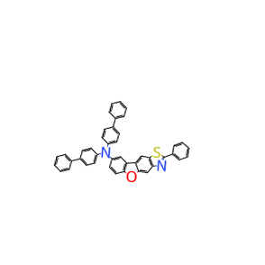 c1ccc(-c2ccc(N(c3ccc(-c4ccccc4)cc3)c3ccc4oc5cc6nc(-c7ccccc7)sc6cc5c4c3)cc2)cc1